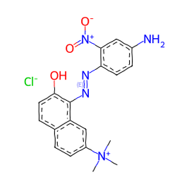 C[N+](C)(C)c1ccc2ccc(O)c(/N=N/c3ccc(N)cc3[N+](=O)[O-])c2c1.[Cl-]